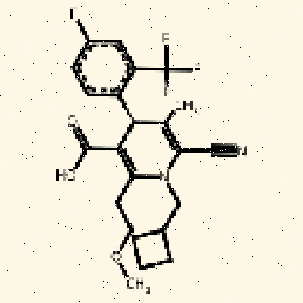 COCCC1=C(C(=O)O)[C@@H](c2ccc(F)cc2C(F)(F)F)C(C)=C(C#N)N1CC1CCC1